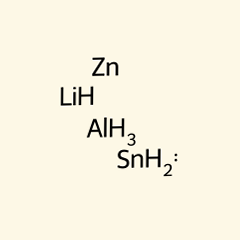 [AlH3].[LiH].[SnH2].[Zn]